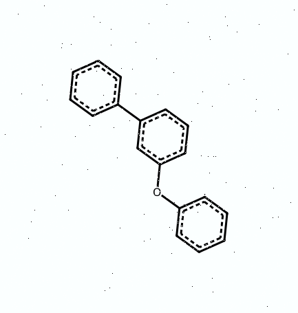 [c]1ccccc1Oc1cccc(-c2ccccc2)c1